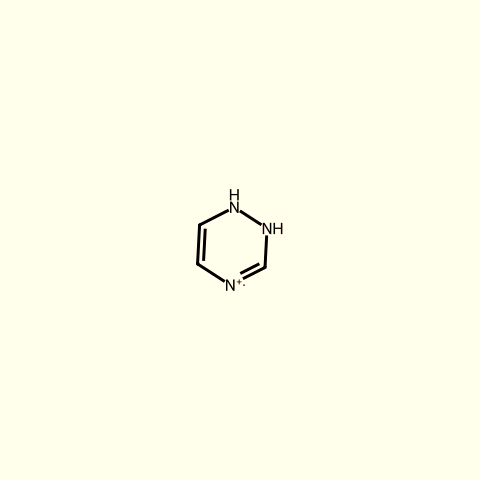 C1=CNNC=[N+]1